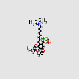 CCN(CC)CCCCCCCCc1c(C(=O)O)cc(OC)c(OC)c1OC.Cl